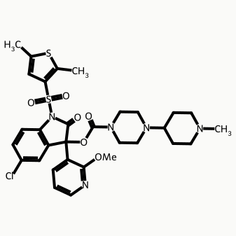 COc1ncccc1C1(OC(=O)N2CCN(C3CCN(C)CC3)CC2)C(=O)N(S(=O)(=O)c2cc(C)sc2C)c2ccc(Cl)cc21